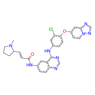 CN1CCCC1/C=C/C(=O)Nc1ccc2ncnc(Nc3ccc(Oc4ccn5ncnc5c4)c(Cl)c3)c2c1